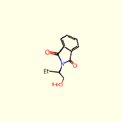 CCC(CO)N1C(=O)c2ccccc2C1=O